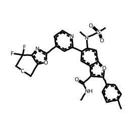 CNC(=O)c1c(-c2ccc(C)cc2)oc2cc(N(C)S(C)(=O)=O)c(-c3cc(-c4nc5c(o4)CCCC5(F)F)ccn3)cc12